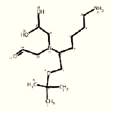 CC(C)(C)OCC(CCCCN)N(CC=O)CC(O)O